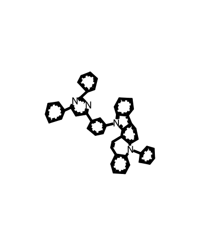 C1=Cc2c(ccc3c4ccccc4n(-c4cccc(-c5cc(-c6ccccc6)nc(-c6ccccc6)n5)c4)c23)N(c2ccccc2)c2ccccc21